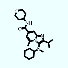 Cc1cc(C(=O)NC2CCOCC2)cc2nc(C(C)C)c(N(C)C3CCCCC3)n12